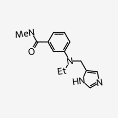 CCN(Cc1cnc[nH]1)c1cccc(C(=O)NC)c1